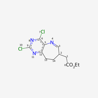 CCOC(=O)CC1C=Nc2c(Cl)nc(Cl)nc2CC1